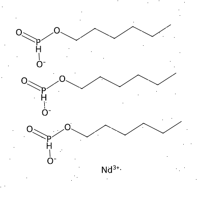 CCCCCCO[PH](=O)[O-].CCCCCCO[PH](=O)[O-].CCCCCCO[PH](=O)[O-].[Nd+3]